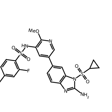 COc1ncc(-c2ccc3nc(N)n(S(=O)(=O)C4CC4)c3c2)cc1NS(=O)(=O)c1ccc(C)cc1F